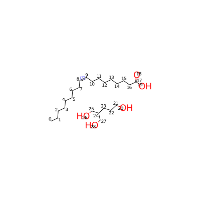 CCCCCCCC/C=C\CCCCCCCC(=O)O.OCCCC(CO)CO